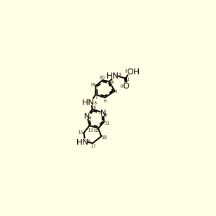 O=C(O)Nc1ccc(Nc2ncc3c(n2)CNCC3)cc1